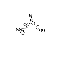 [O-][S+](CCC1CC(c2ccc(O)cc2)=CCN1)Cc1c[nH]c2ccccc12